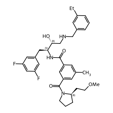 CCc1cccc(CNC[C@@H](O)[C@H](Cc2cc(F)cc(F)c2)NC(=O)c2cc(C)cc(C(=O)N3CCC[C@@H]3CCOC)c2)c1